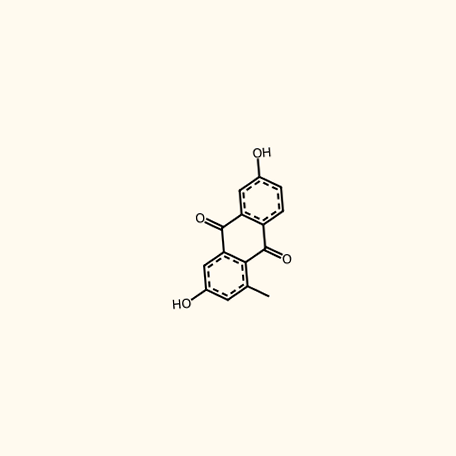 Cc1cc(O)cc2c1C(=O)c1ccc(O)cc1C2=O